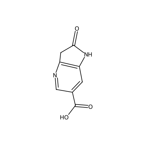 O=C1Cc2ncc(C(=O)O)cc2N1